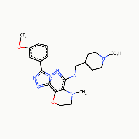 CN1CCOc2c1c(NCC1CCN(C(=O)O)CC1)nn1c(-c3cccc(OC(F)(F)F)c3)nnc21